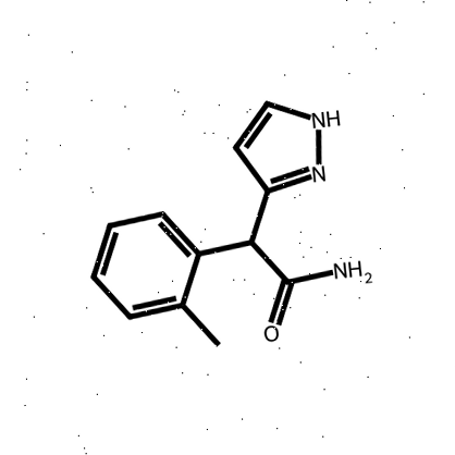 Cc1ccccc1C(C(N)=O)c1cc[nH]n1